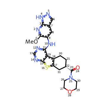 COc1nc2[nH]ncc2cc1Nc1ncnc2sc3c(c12)CC[C@H](C(=O)N1CCOCC1)C3